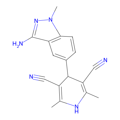 CC1=C(C#N)C(c2ccc3c(c2)c(N)nn3C)C(C#N)=C(C)N1